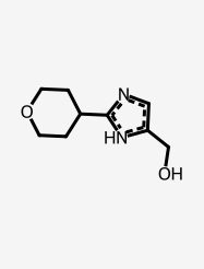 OCc1cnc(C2CCOCC2)[nH]1